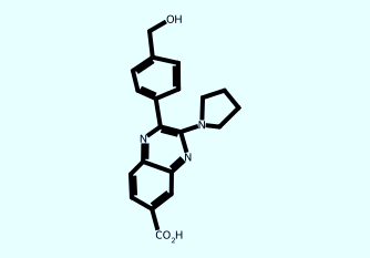 O=C(O)c1ccc2nc(-c3ccc(CO)cc3)c(N3CCCC3)nc2c1